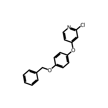 Clc1cc(Oc2ccc(OCc3ccccc3)cc2)ccn1